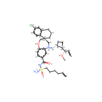 C=CCCCCS(N)(=O)=NC(=O)c1ccc2c(c1)N(C[C@@H]1CC[C@H]1[C@H](C=C)OC)C[C@@]1(CCCc3cc(Cl)ccc31)CO2